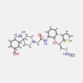 CCNCC[C@@H](Oc1ccccc1NC(=O)CN1CCC(c2cccc(O)c2)(N(C)C)CC1)c1cccs1